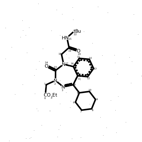 CCOC(=O)CN1N=C(C2CCCCC2)c2ccccc2N(CC(=O)NC(C)(C)C)C1=O